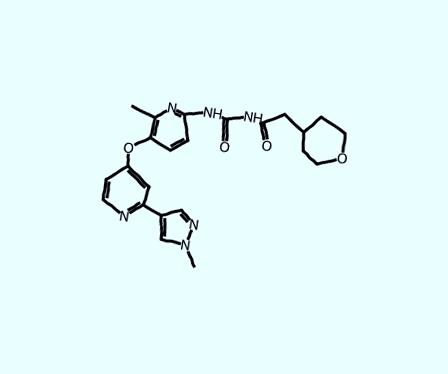 Cc1nc(NC(=O)NC(=O)CC2CCOCC2)ccc1Oc1ccnc(-c2cnn(C)c2)c1